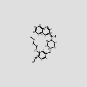 CCCCOc1cc(CN2CCC(Nc3cnc4ccccc4c3)CC2)ccc1OC